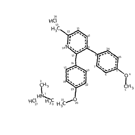 CNC.COc1ccc(-c2ccc(C)nc2-c2ccc(OC)cc2)cc1.Cl.Cl